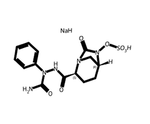 NC(=O)N(NC(=O)[C@@H]1CC[C@@H]2CN1C(=O)N2OS(=O)(=O)O)c1ccccc1.[NaH]